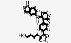 CN(CCCCO)C(=O)[C@H]1CCc2c(sc3ncnc(Nc4ccc5[nH]ncc5c4)c23)C1